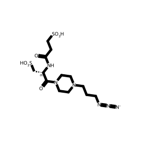 [N-]=[N+]=NCCCN1CCN(C(=O)[C@H](CS(=O)(=O)O)NC(=O)CCS(=O)(=O)O)CC1